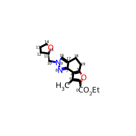 CCOC(=O)c1oc2c(c1C)-c1nn(C[C@H]3CCCO3)cc1CC2